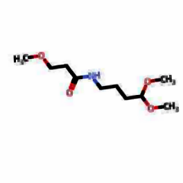 COCCC(=O)NCCCC(OC)OC